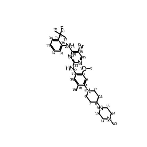 COc1cc(N2CCC(N3CCN(C)CC3)CC2)c(C)cc1Nc1ncc(Br)c(Nc2ccccc2C(C)(C)F)n1